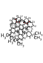 CC(C)c1ccc2c(c1)B1c3ccccc3Sc3c1c1c4c(c3-c3ccccc3-c3ccccc3)N(c3c(F)cccc3F)c3ccc(C(C)C)cc3B4c3cc(C(C)C)ccc3N21